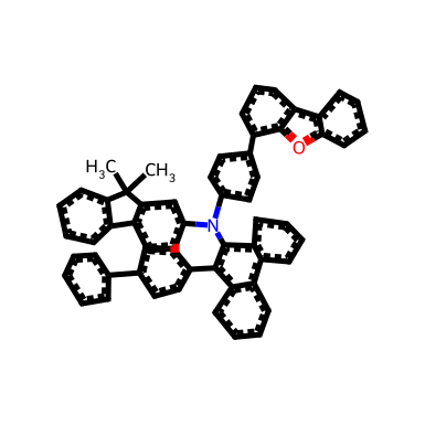 CC1(C)c2ccccc2-c2ccc(N(c3ccc(-c4cccc5c4oc4ccccc45)cc3)c3c(-c4ccc(-c5ccccc5)cc4)c4ccccc4c4ccccc34)cc21